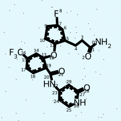 NC(=O)CCc1cc(F)ccc1Oc1cc(C(F)(F)F)ccc1C(=O)Nc1cc[nH]c(=O)c1